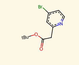 CC(C)(C)OC(=O)Cc1cc(Br)ccn1